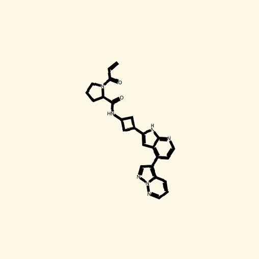 C=CC(=O)N1CCCC1C(=O)NC1CC(c2cc3c(-c4cnn5ncccc45)ccnc3[nH]2)C1